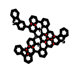 c1ccc(-c2cccc(-c3ccccc3)c2N2c3ccc(-c4ccc5sc6ccccc6c5c4)cc3B3c4ccc(-n5c6ccccc6c6ccccc65)cc4N(c4c(-c5ccccc5)cccc4-c4ccccc4)c4cc(-c5ccc6sc7ccccc7c6c5)cc2c43)cc1